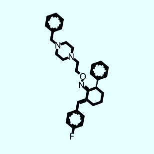 Fc1ccc(/C=C2\CCC[C@H](c3ccccc3)\C2=N/OCCN2CCN(Cc3ccccc3)CC2)cc1